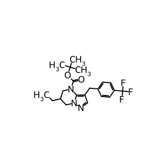 CCC1CN(C(=O)OC(C)(C)C)c2c(Cc3ccc(C(F)(F)F)cc3)cnn2C1